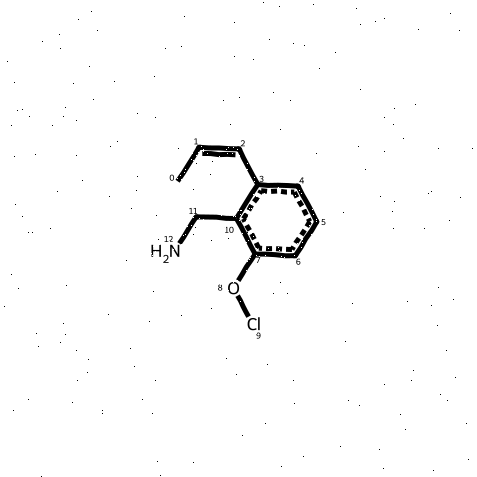 C/C=C\c1cccc(OCl)c1CN